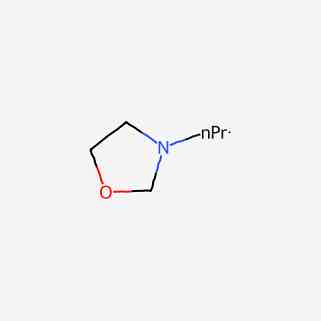 CC[CH]N1CCOC1